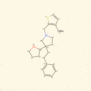 COc1ccsc1CN1CCC(CCc2ccccc2)(C2CCCO2)C1